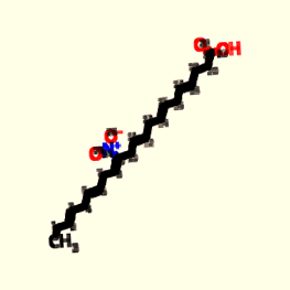 CCC=CCC=CCC=C(CC=CCC=CCC=CCCC(=O)O)[N+](=O)[O-]